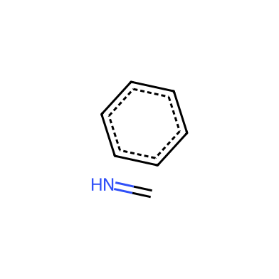 C=N.c1ccccc1